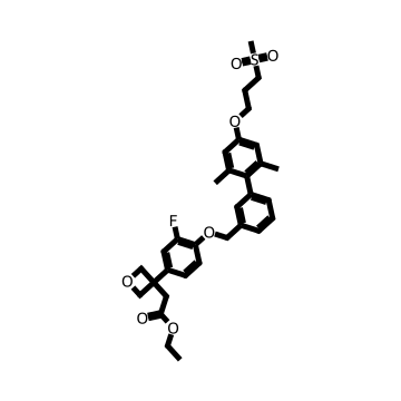 CCOC(=O)CC1(c2ccc(OCc3cccc(-c4c(C)cc(OCCCS(C)(=O)=O)cc4C)c3)c(F)c2)COC1